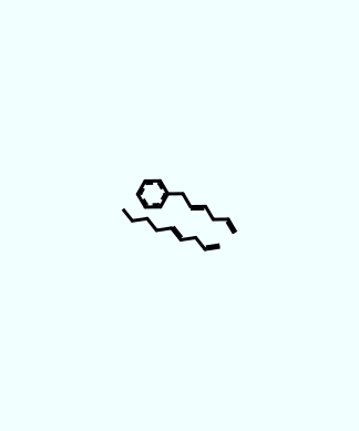 C=CC/C=C/CCCC.C=CCC=CCc1ccccc1